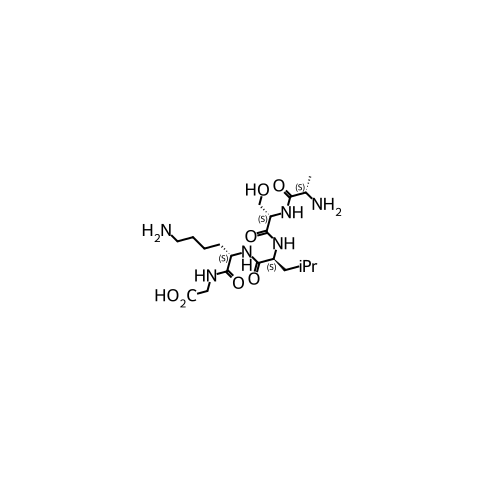 CC(C)C[C@H](NC(=O)[C@H](CO)NC(=O)[C@H](C)N)C(=O)N[C@@H](CCCCN)C(=O)NCC(=O)O